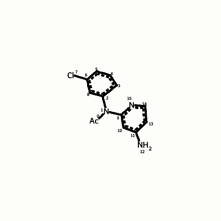 CC(=O)N(c1cccc(Cl)c1)c1cc(N)ccn1